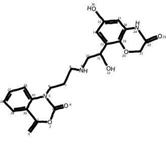 C=C1OC(=O)N(CCCNCC(O)c2cc(O)cc3c2OCC(=O)N3)c2ccccc21